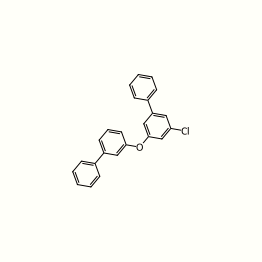 Clc1cc(Oc2cccc(-c3ccccc3)c2)cc(-c2ccccc2)c1